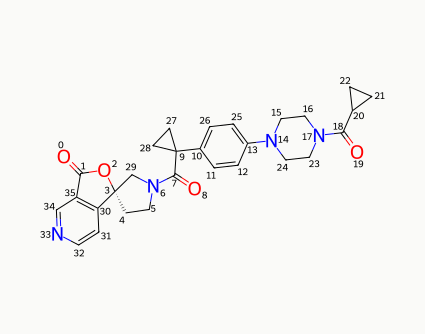 O=C1O[C@]2(CCN(C(=O)C3(c4ccc(N5CCN(C(=O)C6CC6)CC5)cc4)CC3)C2)c2ccncc21